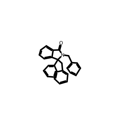 O=C1c2ccccc2C(Cc2ccccc2)(c2ccccc2)N1Cc1ccccc1